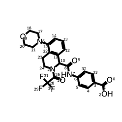 O=C(O)c1ccc(NC(=O)C2c3cccc(N4CCOCC4)c3CCN2C(=O)C(F)(F)F)cc1